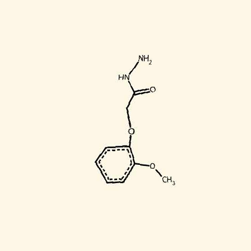 COc1ccccc1OCC(=O)NN